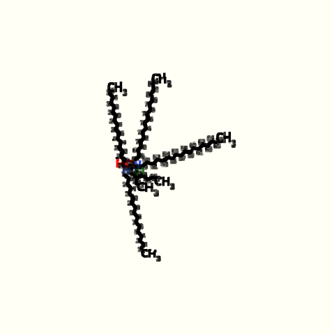 CCCCCCCCCCCCCCCCCC[N](CCCCCCCCCCCCCCCCCC)[Ti]([OH])([Cl])([CH2]C(CC)CCCC)[N](CCCCCCCCCCCCCCCCCC)CCCCCCCCCCCCCCCCCC